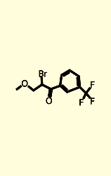 COCC(Br)C(=O)c1cccc(C(F)(F)F)c1